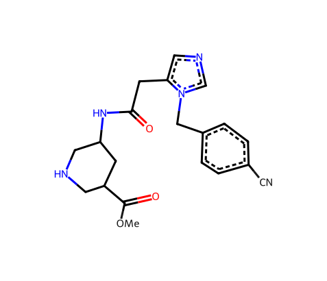 COC(=O)C1CNCC(NC(=O)Cc2cncn2Cc2ccc(C#N)cc2)C1